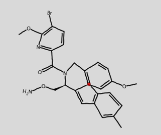 COc1ccc(CN(C(=O)c2ccc(Br)c(OC)n2)[C@H](CON)c2cc3cc(C)ccc3o2)cc1